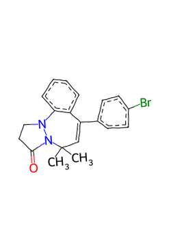 CC1(C)C=C(c2ccc(Br)cc2)c2ccccc2N2CCC(=O)N21